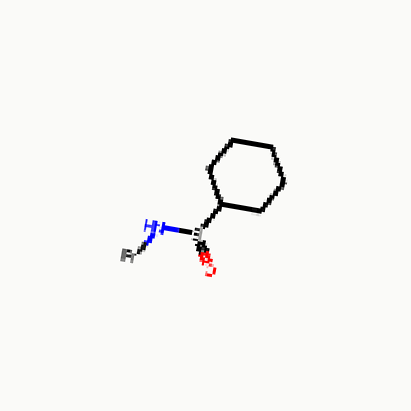 CC(C)N[Si](=O)C1CCCCC1